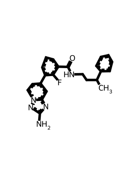 CC(CCNC(=O)c1cccc(-c2ccn3nc(N)nc3c2)c1F)c1ccccc1